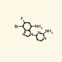 Nc1nccc(-n2cnc3c(Br)c(F)cc(N)c32)n1